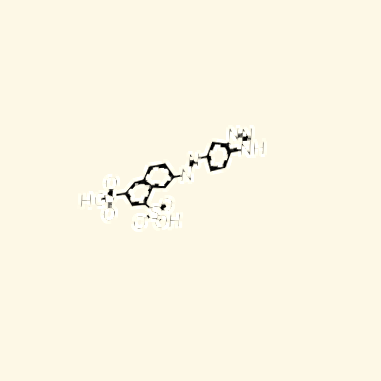 O=S(=O)(O)c1cc(S(=O)(=O)O)c2cc(/N=N/c3ccc4[nH]nnc4c3)ccc2c1